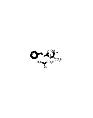 CC(C)[C@H](N)C(=O)O.C[C@@H](O)[C@H](NC(=O)OCc1ccccc1)C(=O)O